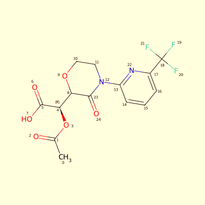 CC(=O)O[C@@H](C(=O)O)C1OCCN(c2cccc(C(F)(F)F)n2)C1=O